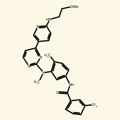 COCCNc1ccc(-c2ccnc(N(C)c3cc(NC(=O)c4cccc(C(F)(F)F)c4)ccc3C)n2)cn1